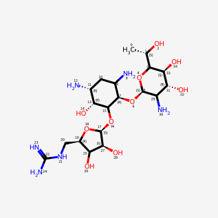 C[C@H](O)C1O[C@H](O[C@@H]2C(N)C[C@@H](N)[C@@H](O)C2O[C@@H]2O[C@H](CNC(=N)N)C(O)[C@@H]2O)C(N)[C@@H](O)[C@@H]1O